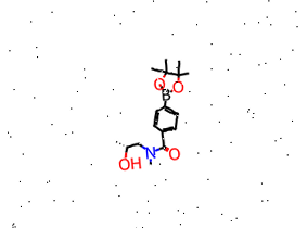 C[C@@H](O)CN(C)C(=O)c1ccc(B2OC(C)(C)C(C)(C)O2)cc1